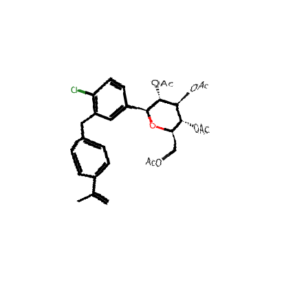 C=C(C)c1ccc(Cc2cc([C@@H]3O[C@H](COC(C)=O)[C@@H](OC(C)=O)[C@H](OC(C)=O)[C@H]3OC(C)=O)ccc2Cl)cc1